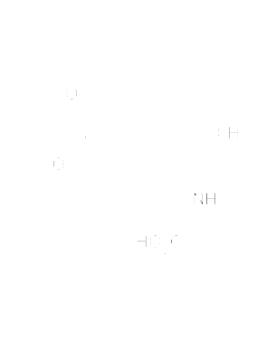 CC1(NC(=O)O)CCC2(CC1)OCCO2